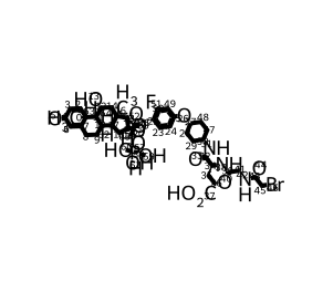 C[C@]12C=CC(=O)C=C1CC[C@@H]1[C@@H]2[C@@H](O)C[C@@]2(C)[C@H]1C[C@H]1O[C@@H](c3ccc(OC4CCC(NC(=O)[C@H](CCC(=O)O)NC(=O)CNC(=O)CBr)CC4)cc3F)O[C@]12C(=O)CO[PH](O)(O)O